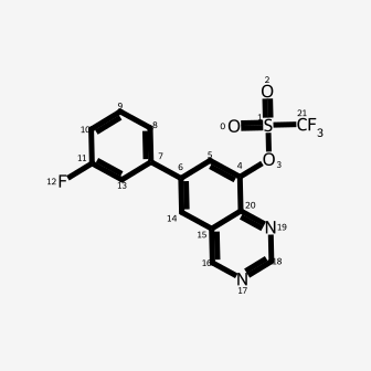 O=S(=O)(Oc1cc(-c2cccc(F)c2)cc2cncnc12)C(F)(F)F